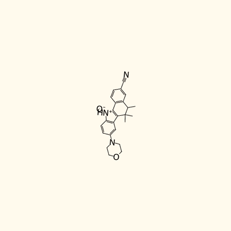 CC1c2cc(C#N)ccc2C2=C(c3cc(N4CCOCC4)ccc3[NH+]2[O-])C1(C)C